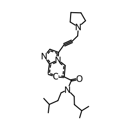 CC(C)CCN(CCC(C)C)C(=O)c1ccc2ncc(C#CCN3CCCC3)n2c1